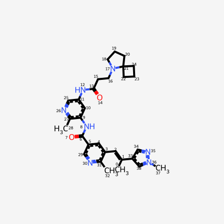 C/C(=C\c1cc(C(=O)Nc2cc(NC(=O)CCN3CCCC34CCC4)cnc2C)cnc1C)c1cnn(C)c1